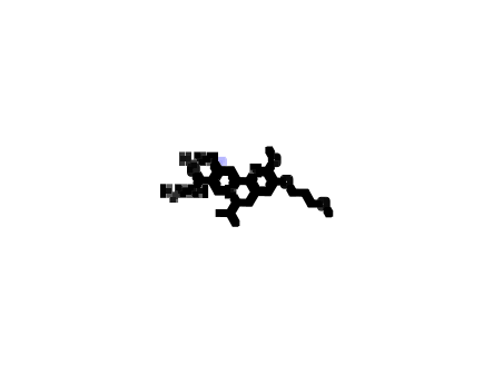 COCCCOc1cc2c(nc1OC)-c1c/c(=N/N)c(C(=O)NN)cn1C(C(C)C)C2